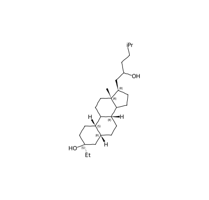 CC[C@]1(O)CC[C@@H]2C3CC[C@@]4(C)C(CC[C@@H]4CC(O)CCC(C)C)[C@@H]3CC[C@@H]2C1